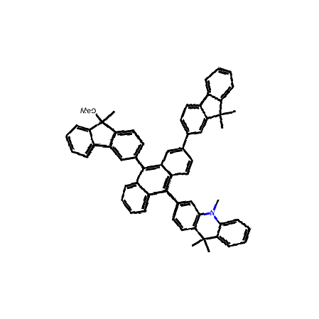 COC1(C)c2ccccc2-c2cc(-c3c4ccccc4c(-c4ccc5c(c4)N(C)c4ccccc4C5(C)C)c4ccc(-c5ccc6c(c5)C(C)(C)c5ccccc5-6)cc34)ccc21